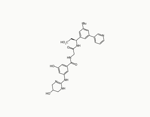 CC(C)(C)c1cc(-c2cccnc2)cc([C@H](CC(=O)O)NC(=O)CNC(=O)c2cc(O)cc(NC3=NCC(O)CN3)c2)c1